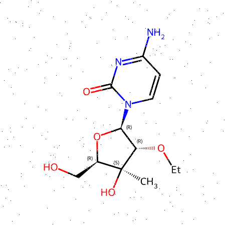 CCO[C@H]1[C@H](n2ccc(N)nc2=O)O[C@H](CO)[C@]1(C)O